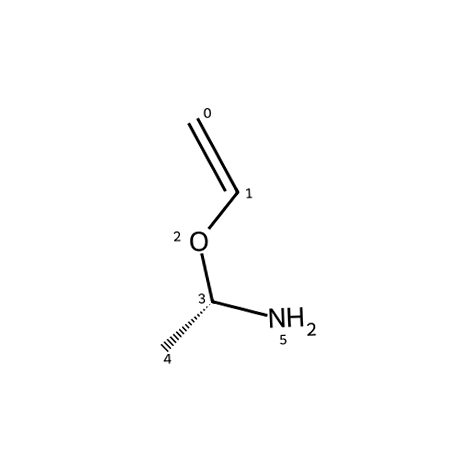 C=CO[C@@H](C)N